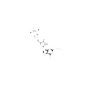 CSc1nc(N)c2ncn(C3OC(COP4(=O)O[PH](=O)C[PH](=O)O4)C(C)C3C)c2n1